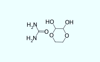 NC(N)=O.OC1OCCOC1O